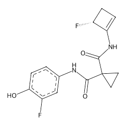 O=C(NC1=CC[C@H]1F)C1(C(=O)Nc2ccc(O)c(F)c2)CC1